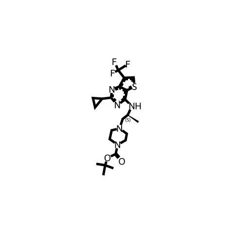 C[C@@H](CN1CCN(C(=O)OC(C)(C)C)CC1)Nc1nc(C2CC2)nc2c(C(F)(F)F)csc12